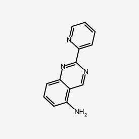 Nc1cccc2nc(-c3ccccn3)ncc12